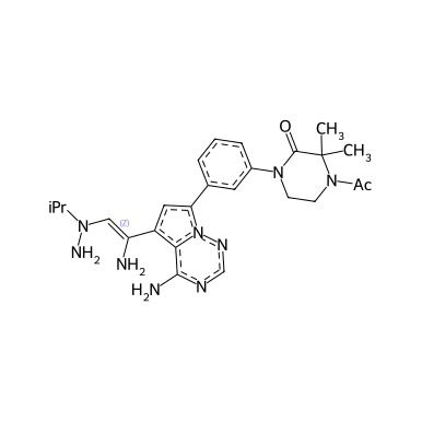 CC(=O)N1CCN(c2cccc(-c3cc(/C(N)=C/N(N)C(C)C)c4c(N)ncnn34)c2)C(=O)C1(C)C